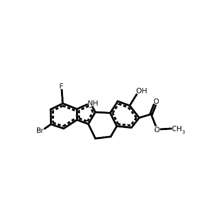 COC(=O)c1cc2c(cc1O)-c1[nH]c3c(F)cc(Br)cc3c1CC2